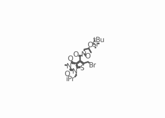 CC(C)Cn1c(=O)n(C)c(=O)c2c(C(=O)N3CC(O[Si](C)(C)C(C)(C)C)CO3)c(CBr)sc21